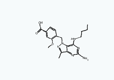 CCCCNc1nc(N)nc2c(C)nn(Cc3ccc(C(=O)O)cc3OC)c12